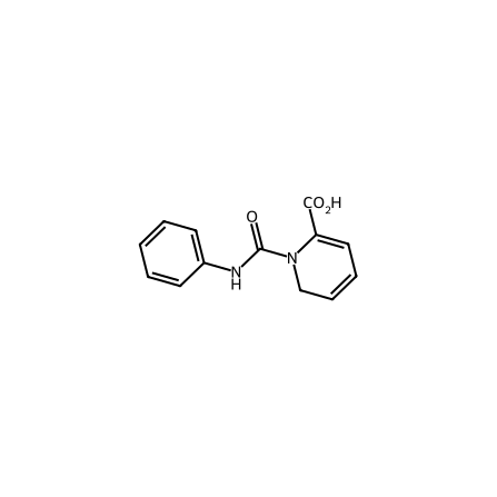 O=C(O)C1=CC=CCN1C(=O)Nc1ccccc1